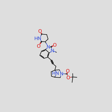 Cn1c(=O)n(C2CCC(=O)NC2=O)c2cccc(C#CCC34CCC(CN(C(=O)OC(C)(C)C)C3)N4)c21